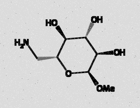 CO[C@H]1O[C@H](CN)[C@@H](O)[C@H](O)[C@H]1O